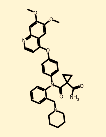 COc1cc2nccc(Oc3ccc(N(C(=O)C4(C(N)=O)CC4)c4ccccc4CN4CCCCC4)cc3)c2cc1OC